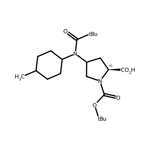 CC1CCC(N(C(=O)C(C)(C)C)C2C[C@@H](C(=O)O)N(C(=O)OC(C)(C)C)C2)CC1